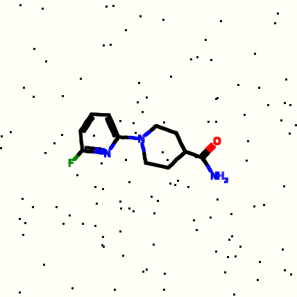 NC(=O)C1CCN(c2cccc(F)n2)CC1